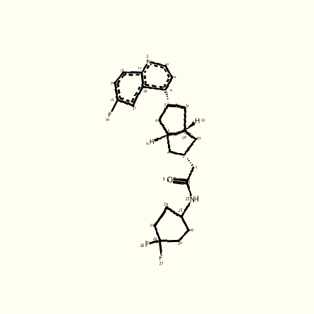 O=C(C[C@@H]1C[C@@H]2C[C@H](c3ccnc4ccc(F)cc34)C[C@@H]2C1)NC1CCC(F)(F)CC1